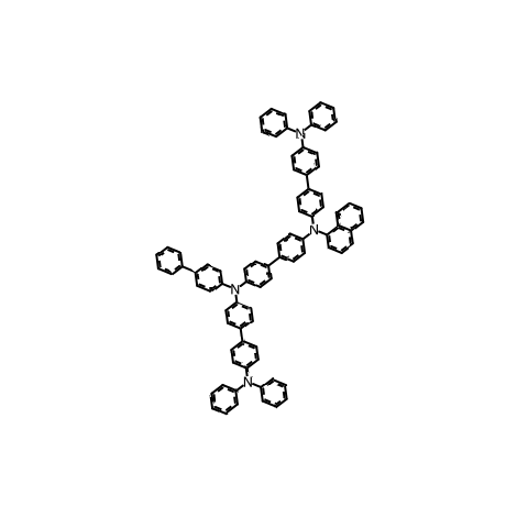 c1ccc(-c2ccc(N(c3ccc(-c4ccc(N(c5ccccc5)c5ccccc5)cc4)cc3)c3ccc(-c4ccc(N(c5ccc(-c6ccc(N(c7ccccc7)c7ccccc7)cc6)cc5)c5cccc6ccccc56)cc4)cc3)cc2)cc1